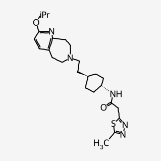 Cc1nnc(CC(=O)N[C@H]2CC[C@H](CCN3CCc4ccc(OC(C)C)nc4CC3)CC2)s1